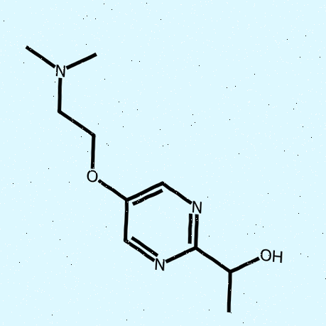 CC(O)c1ncc(OCCN(C)C)cn1